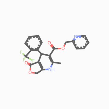 CC1=C(C(=O)OCc2ccccn2)C(c2ccccc2C(F)(F)F)C2=C(COC2=O)N1